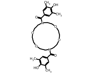 Cc1cc(C(=O)N2CCOCCOCCN(C(=O)c3cc(C)c(O)c(C)c3)CCOCCOCC2)cc(C)c1O